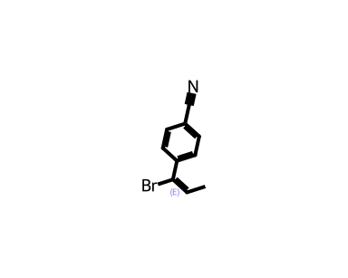 C/C=C(/Br)c1ccc(C#N)cc1